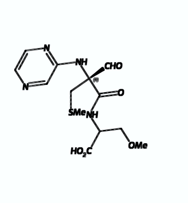 COCC(NC(=O)[C@](C=O)(CSC)Nc1cnccn1)C(=O)O